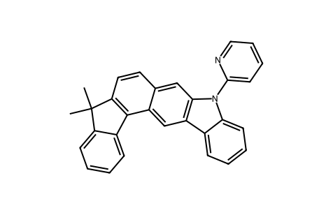 CC1(C)c2ccccc2-c2c1ccc1cc3c(cc21)c1ccccc1n3-c1ccccn1